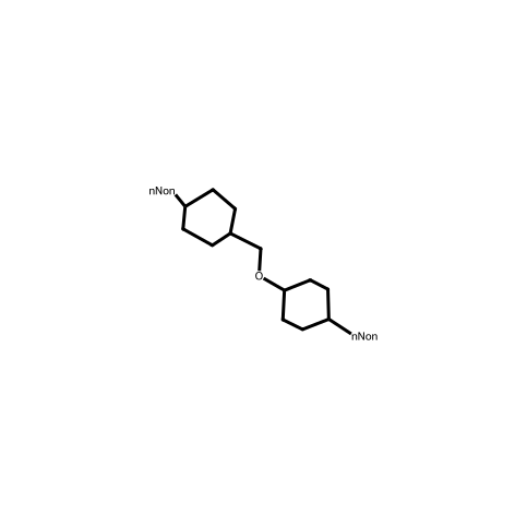 CCCCCCCCCC1CCC(COC2CCC(CCCCCCCCC)CC2)CC1